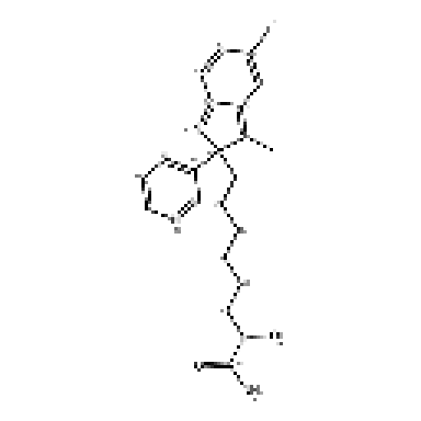 CC1=c2cc(F)ccc2=NC1(CCCCCCN(O)C(N)=O)c1cccnc1